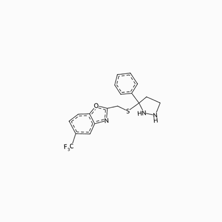 FC(F)(F)c1ccc2oc(CSC3(c4ccccc4)CCNN3)nc2c1